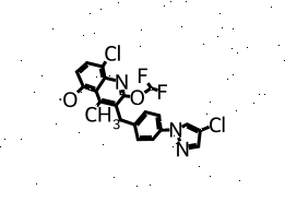 Cc1c(Cc2ccc(-n3cc(Cl)cn3)cc2)c(OC(F)F)nc2c(Cl)ccc([O])c12